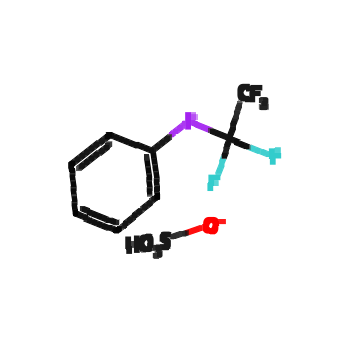 FC(F)(F)C(F)(F)[I+]c1ccccc1.O=S(=O)([O-])O